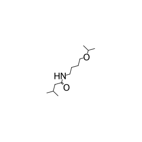 CC(C)CC(=O)NCCCCOC(C)C